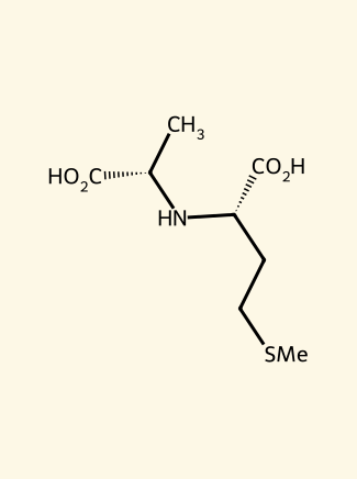 CSCC[C@H](N[C@@H](C)C(=O)O)C(=O)O